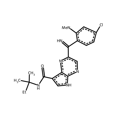 CCC(C)(C)NC(=O)c1c[nH]c2ncc(C(=N)c3ccc(Cl)cc3NC)nc12